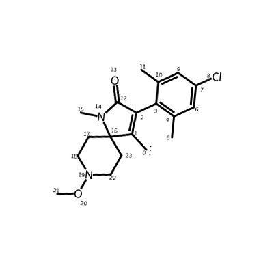 [C]C1=C(c2c(C)cc(Cl)cc2C)C(=O)N(C)C12CCN(OC)CC2